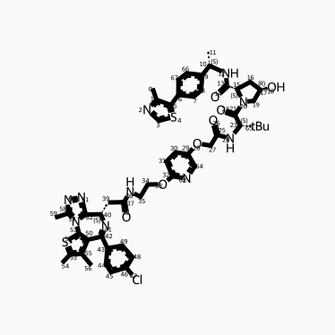 Cc1ncsc1-c1ccc([C@H](C)NC(=O)[C@@H]2C[C@@H](O)CN2C(=O)[C@@H](NC(=O)COc2ccc(OCCNC(=O)C[C@@H]3N=C(c4ccc(Cl)cc4)c4c(sc(C)c4C)-n4c(C)nnc43)nc2)C(C)(C)C)cc1